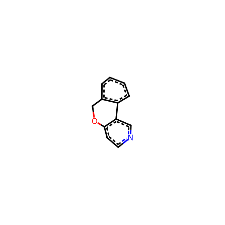 c1ccc2c(c1)COc1ccncc1-2